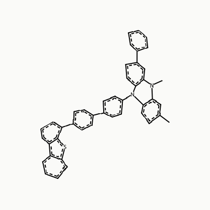 Cc1ccc2c(c1)N(C)c1cc(-c3ccccc3)ccc1N2c1ccc(-c2ccc(-c3cccc4c3sc3ccccc34)cc2)cc1